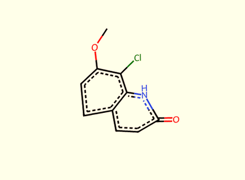 COc1ccc2ccc(=O)[nH]c2c1Cl